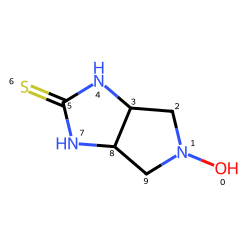 ON1CC2NC(=S)NC2C1